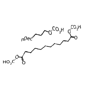 CCCCCCCCCCCCCOC(=O)O.O=C(O)OC(=O)CCCCCCCCCCC(=O)OC(=O)O